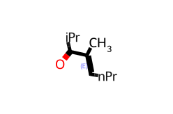 CCC/C=C(\C)C(=O)C(C)C